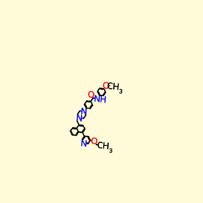 CCOc1cncc(-c2ccc(CN3CCN(c4ccc(C(=O)Nc5ccc(OC)cc5)cc4)CC3)c3ccccc23)c1